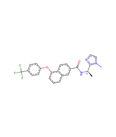 C[C@@H](NC(=O)c1ccc2c(Oc3ccc(C(F)(F)F)cc3)cccc2c1)c1nccn1C